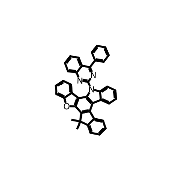 CC1(C)c2ccccc2-c2c1c1oc3ccccc3c1c1c2c2ccccc2n1-c1nc(-c2ccccc2)c2ccccc2n1